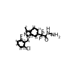 Cc1nn(Cc2c(F)cccc2Cl)c2cc(C(F)(F)C(=O)NN)ccc12